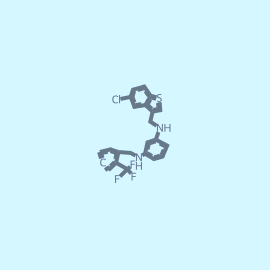 FC(F)(F)c1ccccc1CNc1cccc(NCc2csc3ccc(Cl)cc23)c1